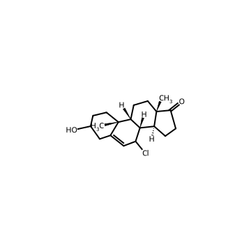 C[C@]12CCC(O)CC1=CC(Cl)[C@@H]1[C@H]2CC[C@]2(C)C(=O)CC[C@@H]12